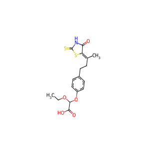 CCOC(Oc1ccc(CCC(C)=C2SC(=S)NC2=O)cc1)C(=O)O